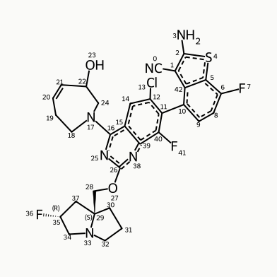 N#Cc1c(N)sc2c(F)ccc(-c3c(Cl)cc4c(N5CCC=CC(O)C5)nc(OC[C@@]56CCCN5C[C@H](F)C6)nc4c3F)c12